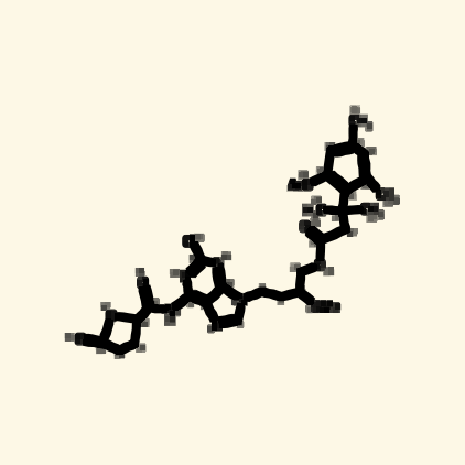 COC(CCn1cnc2c(NC(=O)C3CCC(=O)O3)nc(Cl)nc21)COC(=O)CC(C)(C)c1c(C)cc(C)cc1OC(C)=O